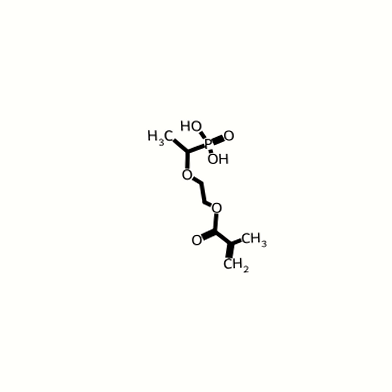 C=C(C)C(=O)OCCOC(C)P(=O)(O)O